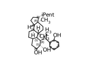 CCCC(C)[C@H]1CC[C@H]2[C@@H]3CCC4C[C@@H](O)[C@@H](O)[C@H](N(C)c5ccccc5O)[C@]4(C)[C@H]3CC[C@]12C